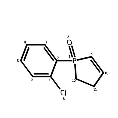 O=P1(c2ccccc2Cl)C=CCC1